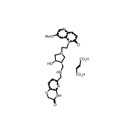 COc1cnc2ccc(=O)n(CCN3C[C@@H](CNCc4ccc5c(n4)NC(=O)CO5)[C@@H](O)C3)c2c1.O=C(O)C=CC(=O)O